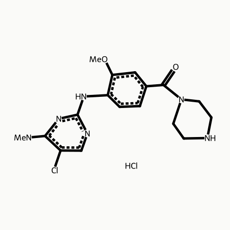 CNc1nc(Nc2ccc(C(=O)N3CCNCC3)cc2OC)ncc1Cl.Cl